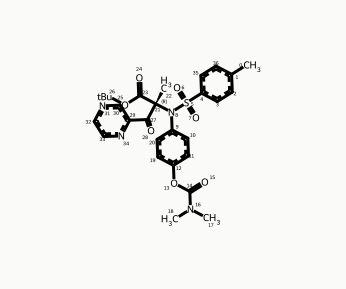 Cc1ccc(S(=O)(=O)N(c2ccc(OC(=O)N(C)C)cc2)[C@@](C)(C(=O)OC(C)(C)C)C(=O)c2cnccn2)cc1